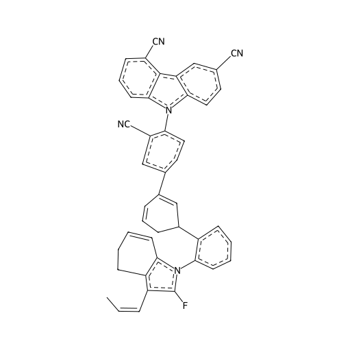 C/C=C\c1c2c(n(-c3ccccc3C3C=C(c4ccc(-n5c6ccc(C#N)cc6c6c(C#N)cccc65)c(C#N)c4)C=CC3)c1F)C=CCC2